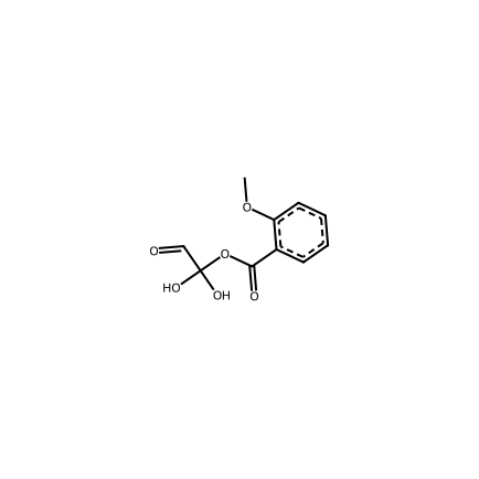 COc1ccccc1C(=O)OC(O)(O)C=O